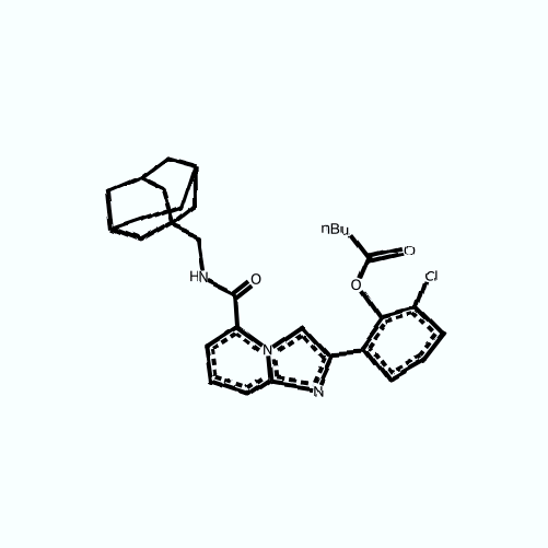 CCCCC(=O)Oc1c(Cl)cccc1-c1cn2c(C(=O)NCC34CC5CC(CC(C5)C3)C4)cccc2n1